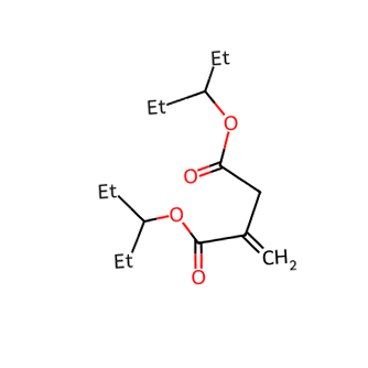 C=C(CC(=O)OC(CC)CC)C(=O)OC(CC)CC